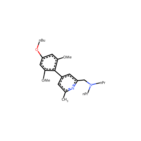 CCCCOc1cc(OC)c(-c2cc(C)nc(CN(CCC)CCC)c2)c(OC)c1